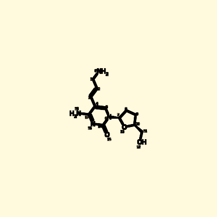 NC/C=C/c1cn([C@H]2CC[C@@H](CO)O2)c(=O)nc1N